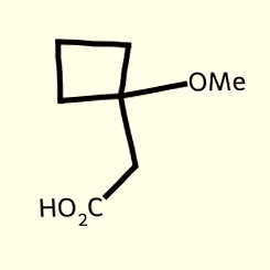 COC1(CC(=O)O)CCC1